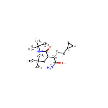 CC(C)(C)CC(C(=O)NC(C)(C)C)[C@H](CCC1CC1)C(N)=O